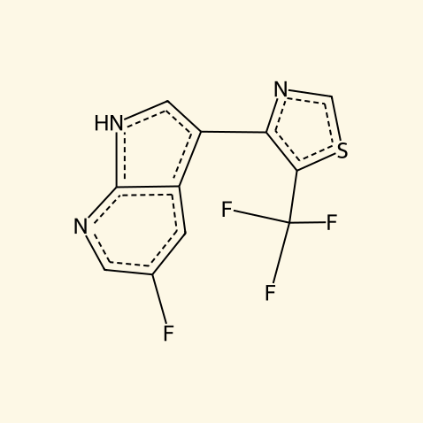 Fc1cnc2[nH]cc(-c3ncsc3C(F)(F)F)c2c1